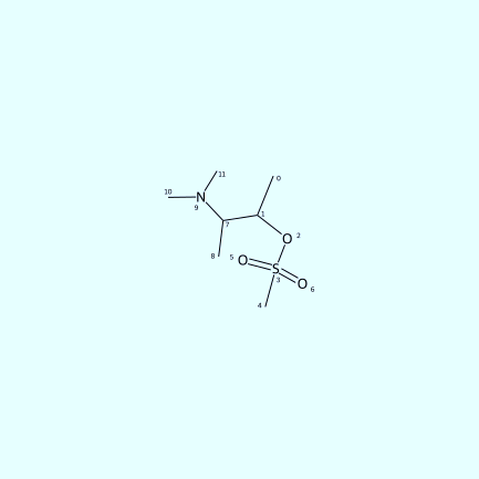 CC(OS(C)(=O)=O)C(C)N(C)C